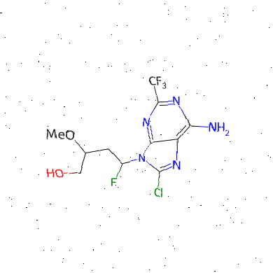 COC(CO)CC(F)n1c(Cl)nc2c(N)nc(C(F)(F)F)nc21